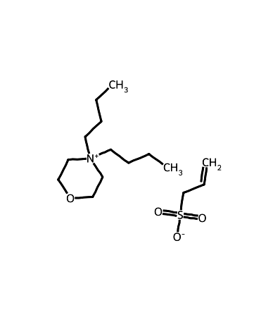 C=CCS(=O)(=O)[O-].CCCC[N+]1(CCCC)CCOCC1